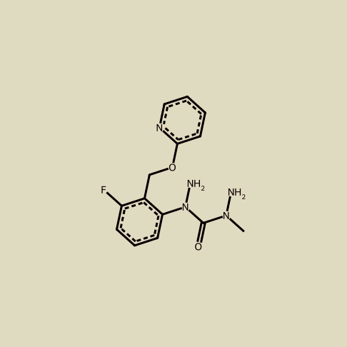 CN(N)C(=O)N(N)c1cccc(F)c1COc1ccccn1